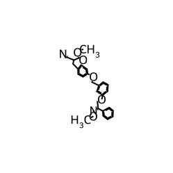 CO/N=C(/COc1cccc(COc2ccc(CC(C#N)C(=O)OC)cc2)c1)c1ccccc1